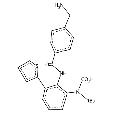 CC(C)(C)N(C(=O)O)c1cccc(-c2cccs2)c1NC(=O)c1ccc(CN)cc1